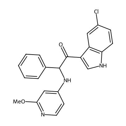 COc1cc(NC(C(=O)c2c[nH]c3ccc(Cl)cc23)c2ccccc2)ccn1